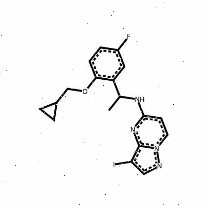 CC(Nc1ccn2ncc(I)c2n1)c1cc(F)ccc1OCC1CC1